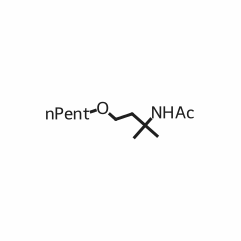 CCCCCOCCC(C)(C)NC(C)=O